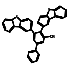 N#Cc1cc(-c2ccccc2)cc(-c2ccc3sc4ccccc4c3c2)c1-c1ccc2sc3ccccc3c2c1